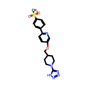 CS(=O)(=O)c1ccc(-c2ccc(OCC3CCN(c4nnn[nH]4)CC3)cn2)cc1